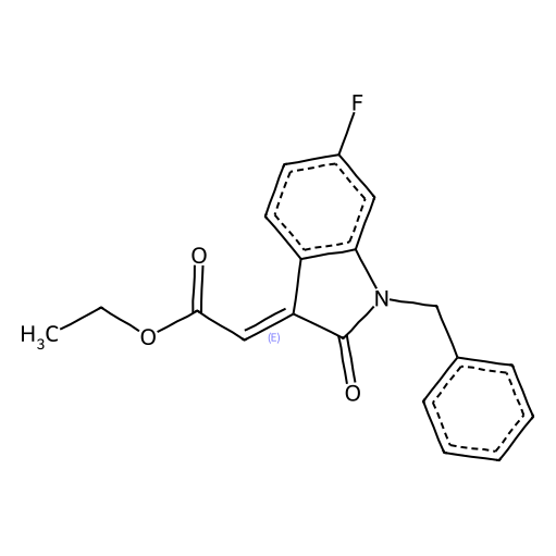 CCOC(=O)/C=C1/C(=O)N(Cc2ccccc2)c2cc(F)ccc21